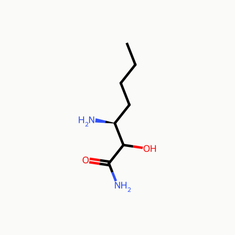 CCCC[C@H](N)C(O)C(N)=O